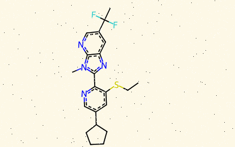 CCSc1cc(C2CCCC2)cnc1-c1nc2cc(C(C)(F)F)cnc2n1C